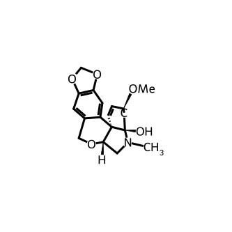 CO[C@@H]1C=C[C@@]23c4cc5c(cc4CO[C@H]2CN(C)[C@@]3(O)C1)OCO5